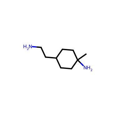 CC1(N)CCC(CCN)CC1